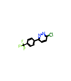 FC(F)(F)c1ccc(-c2ccc(Cl)nn2)cc1